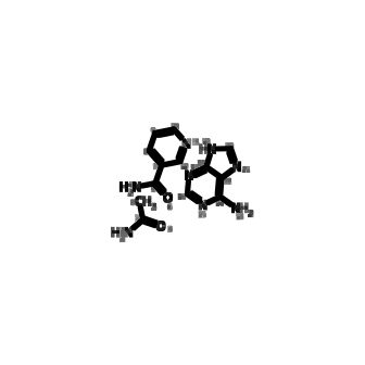 CC(N)=O.NC(=O)c1cccnc1.Nc1ncnc2[nH]cnc12